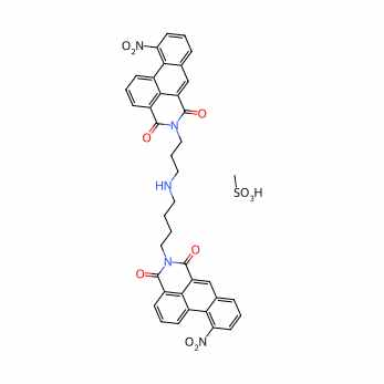 CS(=O)(=O)O.O=C1c2cccc3c2c(cc2cccc([N+](=O)[O-])c23)C(=O)N1CCCCNCCCN1C(=O)c2cccc3c2c(cc2cccc([N+](=O)[O-])c23)C1=O